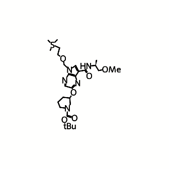 COC[C@H](C)NC(=O)c1cn(COCCS(C)(C)C)c2ncc(OC3CCCN(C(=O)OC(C)(C)C)C3)nc12